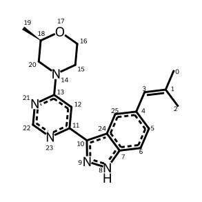 CC(C)=Cc1ccc2[nH]nc(-c3cc(N4CCO[C@H](C)C4)ncn3)c2c1